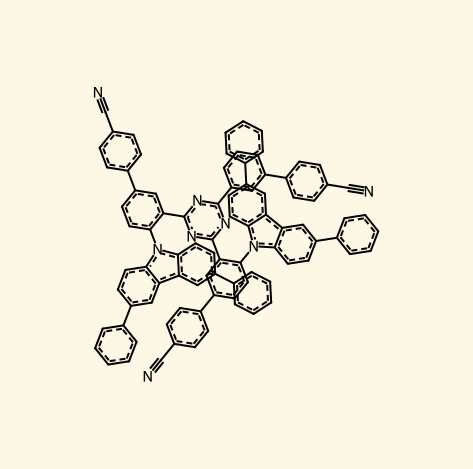 N#Cc1ccc(-c2cccc(-c3nc(-c4cc(-c5ccc(C#N)cc5)ccc4-n4c5ccc(-c6ccccc6)cc5c5cc(-c6ccccc6)ccc54)nc(-c4cc(-c5ccc(C#N)cc5)ccc4-n4c5ccc(-c6ccccc6)cc5c5cc(-c6ccccc6)ccc54)n3)c2)cc1